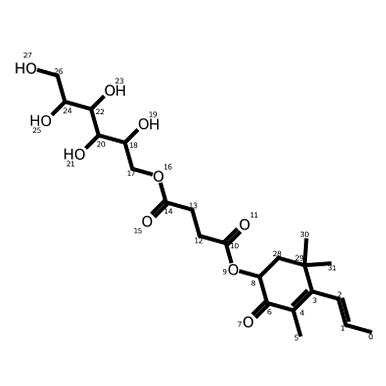 C/C=C/C1=C(C)C(=O)C(OC(=O)CCC(=O)OCC(O)C(O)C(O)C(O)CO)CC1(C)C